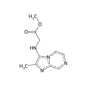 COC(=O)CNc1c(C)nc2cnccn12